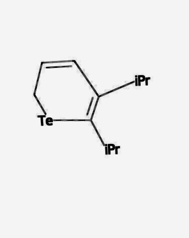 CC(C)C1=C(C(C)C)[Te]CC=C1